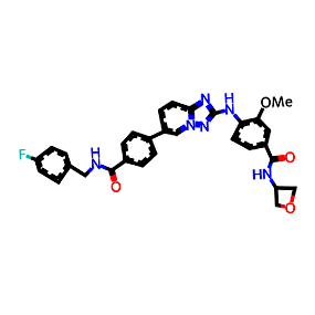 COc1cc(C(=O)NC2COC2)ccc1Nc1nc2ccc(-c3ccc(C(=O)NCc4ccc(F)cc4)cc3)cn2n1